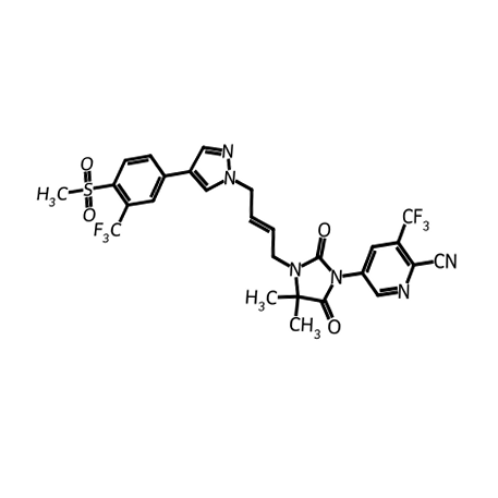 CC1(C)C(=O)N(c2cnc(C#N)c(C(F)(F)F)c2)C(=O)N1CC=CCn1cc(-c2ccc(S(C)(=O)=O)c(C(F)(F)F)c2)cn1